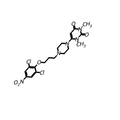 Cn1c(N2CCN(CCCOc3c(Cl)cc([N+](=O)[O-])cc3Cl)CC2)cc(=O)n(C)c1=O